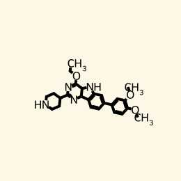 CCOC1=NC(C2CCNCC2)=NC2c3ccc(-c4ccc(OC)c(OC)c4)cc3NC12